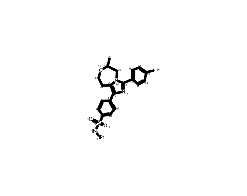 CC(C)NS(=O)(=O)c1ccc(-c2nc(-c3ccc(F)cc3)n3c2CCOC(C)C3)cc1